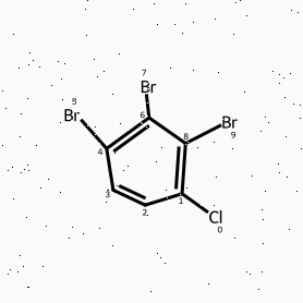 Clc1c[c]c(Br)c(Br)c1Br